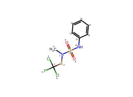 CN(SC(F)(Cl)Cl)S(=O)(=O)Nc1ccccc1